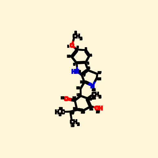 COc1ccc2c3c([nH]c2c1)C(CC1C(=O)C(C(C)C)=CC(O)=C1C)=NCC3